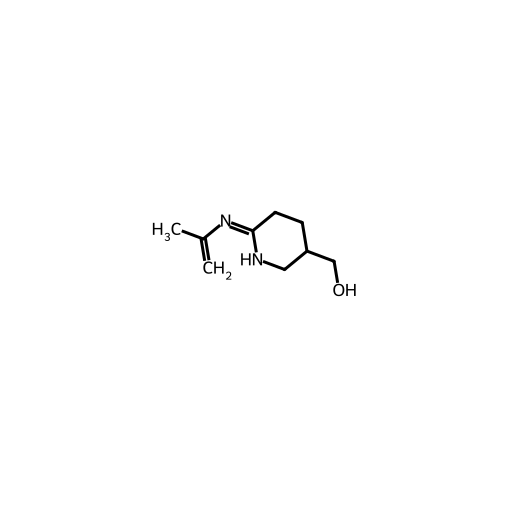 C=C(C)/N=C1/CCC(CO)CN1